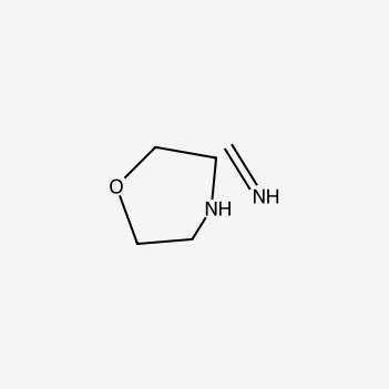 C1COCCN1.C=N